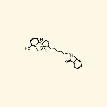 O=C1c2ccccc2CN1CCCCCCN1CC[C@H]2c3cccc(O)c3CC[C@H]21